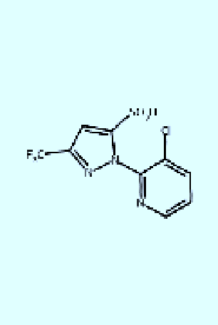 O=S(=O)(O)c1cc(C(F)(F)F)nn1-c1ncccc1Cl